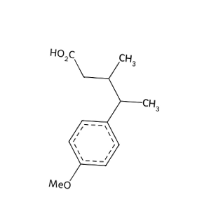 COc1ccc(C(C)C(C)CC(=O)O)cc1